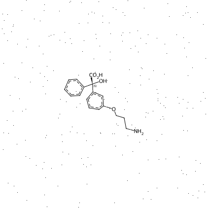 NCCCOc1cccc([C@](O)(C(=O)O)c2ccccc2)c1